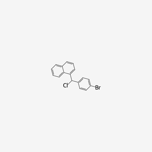 ClC(c1ccc(Br)cc1)c1cccc2ccccc12